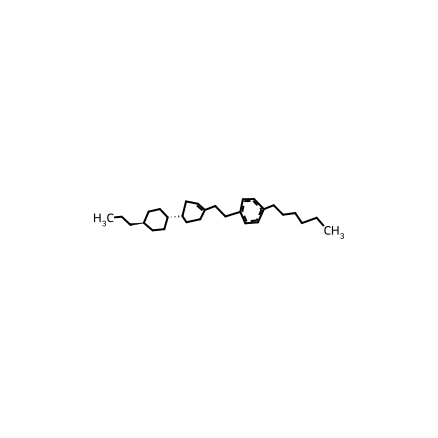 CCCCCCc1ccc(CCC2=CCC([C@H]3CC[C@H](CCC)CC3)CC2)cc1